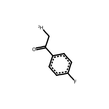 [2H]CC(=O)c1ccc(F)cc1